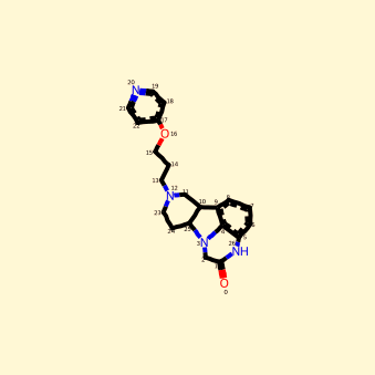 O=C1CN2c3c(cccc3C3CN(CCCOc4ccncc4)CCC32)N1